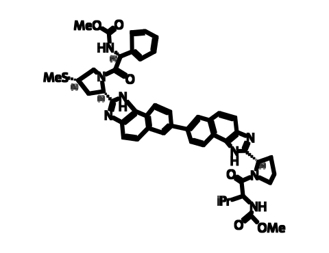 COC(=O)NC(C(=O)N1CCC[C@H]1c1nc2ccc3cc(-c4ccc5c(ccc6nc([C@@H]7C[C@H](SC)CN7C(=O)[C@H](NC(=O)OC)c7ccccc7)[nH]c65)c4)ccc3c2[nH]1)C(C)C